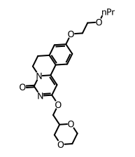 CCCOCCOc1ccc2c(c1)CCn1c-2cc(OCC2COCCO2)nc1=O